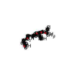 CC1(C)CCC(CN2CCN(c3ccc(C(=O)NS(=O)(=O)c4ccc(NCC5CCCN(C(=O)CCc6cccc7c6CN(C6CCC(=O)NC6=O)C7=O)C5)c([N+](=O)[O-])c4)c(Oc4cnc5[nH]ccc5c4)c3)CC2)=C(c2ccc(Cl)cc2)C1